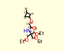 CCOCC(COCC)(COCC)NC(=O)COC1CC(C)C1